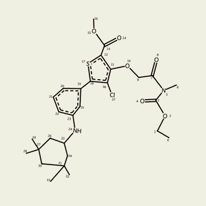 CCOC(=O)N(C)C(=O)COc1c(C(=O)OC)sc(-c2cccc(NC3CC(C)(C)CC(C)(C)C3)c2)c1Cl